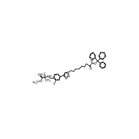 COC(=O)C(C)(C)NCc1ccc(-c2cn(CCCCCCCC(=O)NOC(c3ccccc3)(c3ccccc3)c3ccccc3)nn2)cc1F